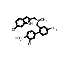 Cc1ccc(-c2ccc(C(=O)O)c(Cl)c2)c(CN(C)Cc2cc3ccc(Cl)cc3[nH]2)c1